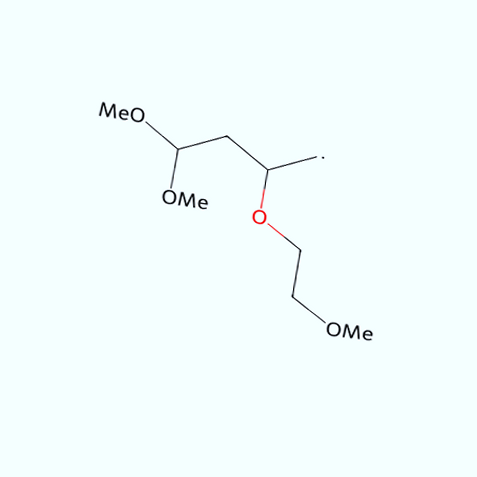 [CH2]C(CC(OC)OC)OCCOC